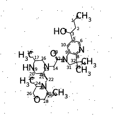 CCCC(O)c1cnc2c(c1)N(C(=O)CN1CC(C)NC[C@@H]1CN1C(C)COC[C@H]1C)CC2(C)C